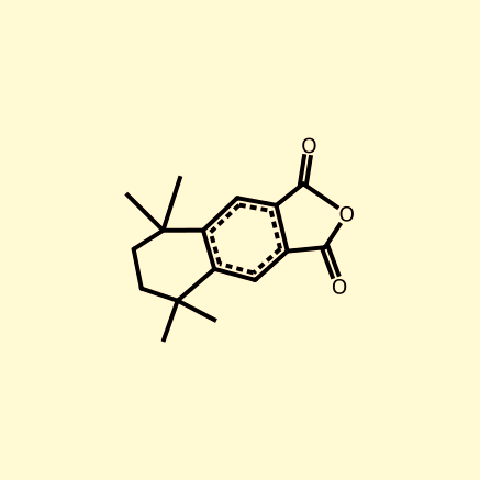 CC1(C)CCC(C)(C)c2cc3c(cc21)C(=O)OC3=O